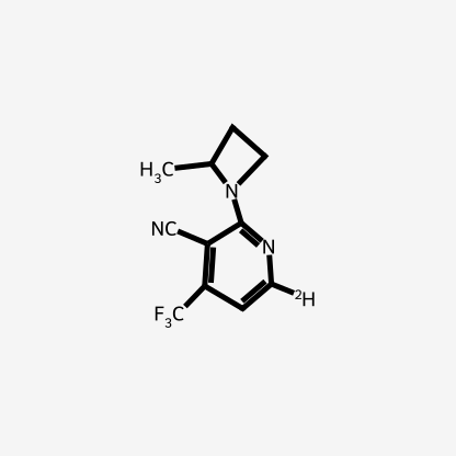 [2H]c1cc(C(F)(F)F)c(C#N)c(N2CCC2C)n1